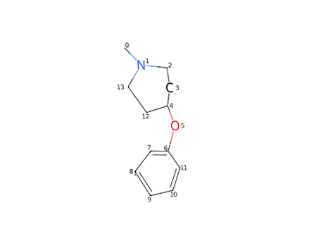 CN1CCC(Oc2c[c]ccc2)CC1